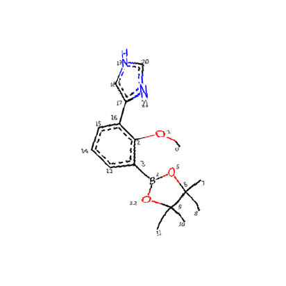 COc1c(B2OC(C)(C)C(C)(C)O2)cccc1-c1c[nH]cn1